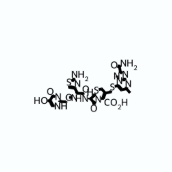 Cc1cc(SCC2=C(C(=O)O)N3C(=O)[C@@H](NC(=O)C(=NOCc4nc(=O)c(O)c[nH]4)c4csc(N)n4)[C@H]3SC2)n2nc(C(N)=O)nc2n1